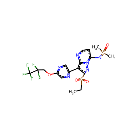 CCS(=O)(=O)c1nn2c(N=S(C)(C)=O)ccnc2c1-c1cnc(OCC(F)(F)C(F)(F)F)cn1